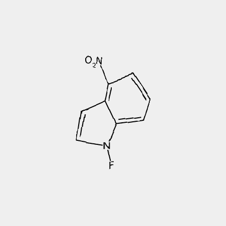 O=[N+]([O-])c1cccc2c1ccn2F